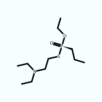 CCC[P@@](=O)(OCC)SCCN(CC)CC